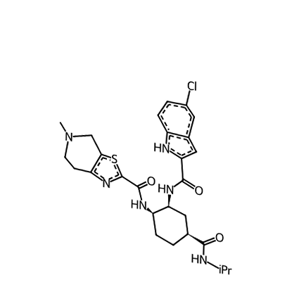 CC(C)NC(=O)[C@H]1CC[C@@H](NC(=O)c2nc3c(s2)CN(C)CC3)[C@@H](NC(=O)c2cc3cc(Cl)ccc3[nH]2)C1